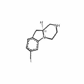 Ic1ccc2c(c1)N1CCNC[C@@H]1C2